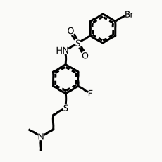 CN(C)CCSc1ccc(NS(=O)(=O)c2ccc(Br)cc2)cc1F